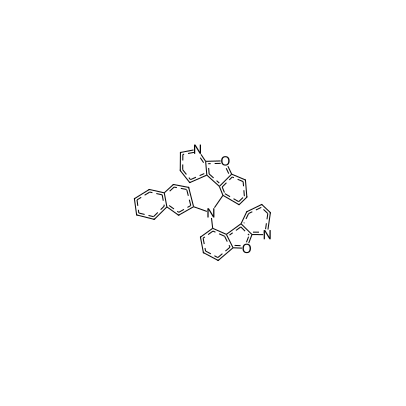 c1ccc2cc(N(c3cccc4oc5ncccc5c34)c3cccc4oc5ncccc5c34)ccc2c1